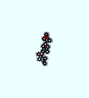 c1ccc(-c2ccccc2N(c2ccc3cc4c(cc3c2)C2(c3ccccc3-c3ccccc32)c2c-4ccc3cc(N(c4ccccc4-c4ccccc4)c4cccc5c4oc4ccccc45)ccc23)c2cccc3c2oc2ccccc23)cc1